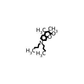 CCCCN(CCCC)c1ccc2c(C)c(C)c(=O)oc2c1